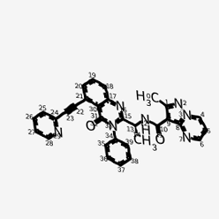 Cc1nn2cccnc2c1C(=O)N[C@@H](C)c1nc2cccc(C#Cc3ccccn3)c2c(=O)n1-c1ccccc1